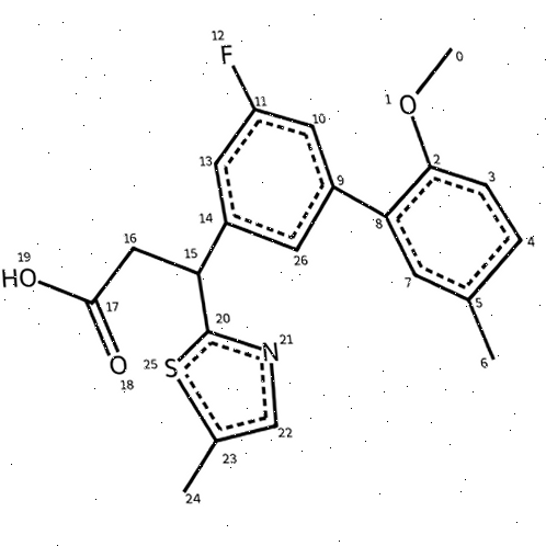 COc1ccc(C)cc1-c1cc(F)cc(C(CC(=O)O)c2ncc(C)s2)c1